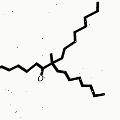 CCCCCCCCC(C)(CCCCCCCC)C([O])CCCCCC